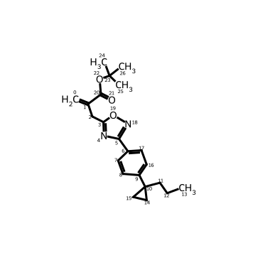 C=C(Cc1nc(-c2ccc(C3(CCC)CC3)cc2)no1)C(=O)OC(C)(C)C